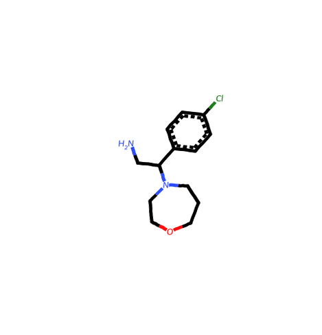 NCC(c1ccc(Cl)cc1)N1CCCOCC1